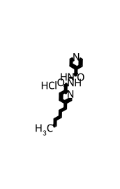 CCCCCCc1ccc(C(=O)NNC(=O)c2ccncc2)nc1.Cl